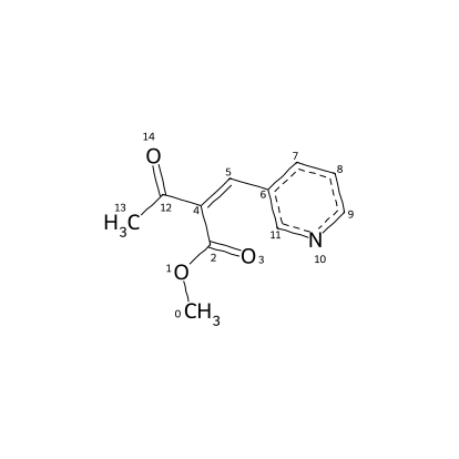 COC(=O)/C(=C\c1cccnc1)C(C)=O